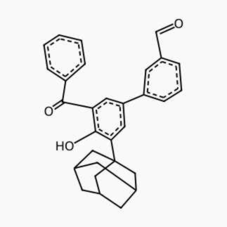 O=Cc1cccc(-c2cc(C(=O)c3ccccc3)c(O)c(C34CC5CC(CC(C5)C3)C4)c2)c1